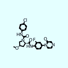 CO[C@@H]1C[C@H](C(=O)Nc2ccc(-n3ccncc3=O)cc2F)N(C(=O)Nc2ccc(Cl)cc2)C1